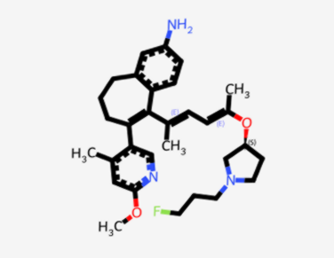 COc1cc(C)c(C2=C(/C(C)=C/C=C(\C)O[C@H]3CCN(CCCF)C3)c3ccc(N)cc3CCC2)cn1